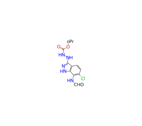 CCCOC(=O)NNc1n[nH]c2c(NC=O)c(Cl)ccc12